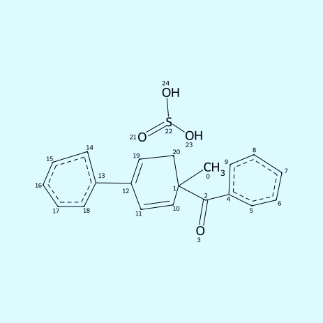 CC1(C(=O)c2ccccc2)C=CC(c2ccccc2)=CC1.O=S(O)O